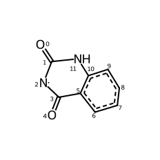 O=C1[N]C(=O)c2ccccc2N1